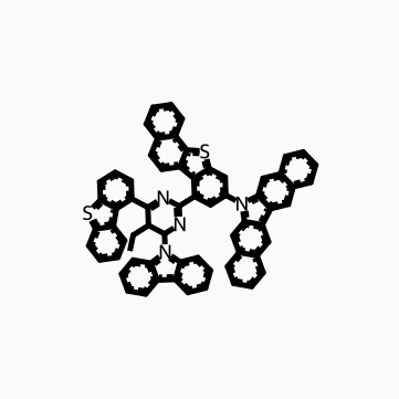 CCC1C(c2cccc3sc4ccccc4c23)=NC(c2cc(-n3c4cc5ccccc5cc4c4cc5ccccc5cc43)cc3sc4c5ccccc5ccc4c23)=NC1n1c2ccccc2c2ccccc21